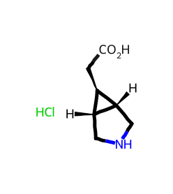 Cl.O=C(O)C[C@H]1[C@@H]2CNC[C@@H]21